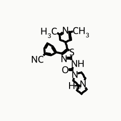 CC1=CC(c2sc(NC(=O)N3CCN4CCC[C@@H]4C3)nc2-c2cccc(C#N)c2)CC(C)=N1